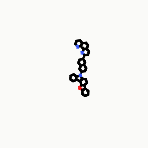 c1cnc2c(c1)ccc1ccc(-c3ccc4cc(-n5c6ccccc6c6c7oc8ccccc8c7ccc65)ccc4c3)nc12